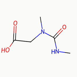 CNC(=O)N(C)CC(=O)O